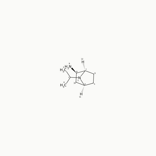 CC(C)N1[C@H]2CC[C@@H]1[C@H](N)C2